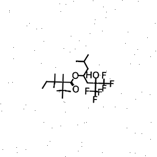 CCC(C)(C)C(C)(C(=O)OC(CC(C)C)CC(O)(C(F)(F)F)C(F)(F)F)C(C)(C)C